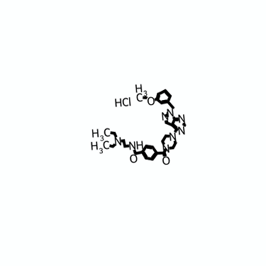 CCOc1cccc(Cn2ncc3c(N4CCN(C(=O)c5ccc(C(=O)NCCN(CC)CC)cc5)CC4)ncnc32)c1.Cl